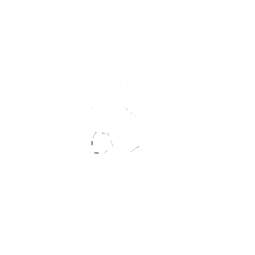 CCC(CI)(Cc1ccccc1)/C(C)=N\OCC(=O)OC